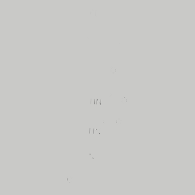 O=C(COc1ccc(Cl)cc1)NC(=O)NCN1CCOCC1